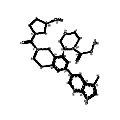 CO[C@@H]1CCN(C(=O)N2CCc3cc(-c4cnc5[nH]cc(C)c5c4)cc([C@@H]4COCCN4C(=O)OC(C)(C)C)c3C2)C1